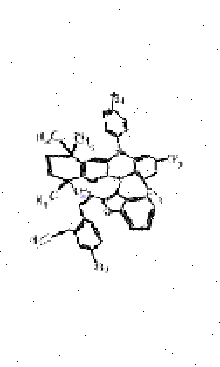 Cc1cc(C)c2c(c1)N(c1ccc(C(C)(C)C)cc1)c1cc3c(cc1B2c1c(/C=C\c2ccc(C(C)(C)C)cc2C)oc2ccccc12)C(C)(C)CCC3(C)C